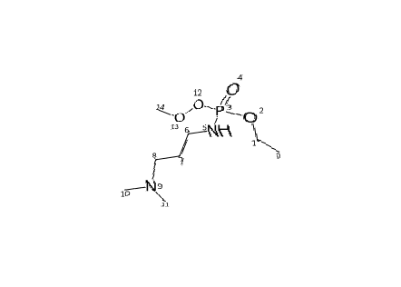 CCOP(=O)(NCCCN(C)C)OOC